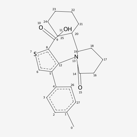 Cc1ccc(-c2csc(C(=O)O)c2N2C(=O)CCCC2C2CCCCC2)cc1